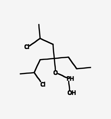 CCCC(CC(C)Cl)(CC(C)Cl)OPO